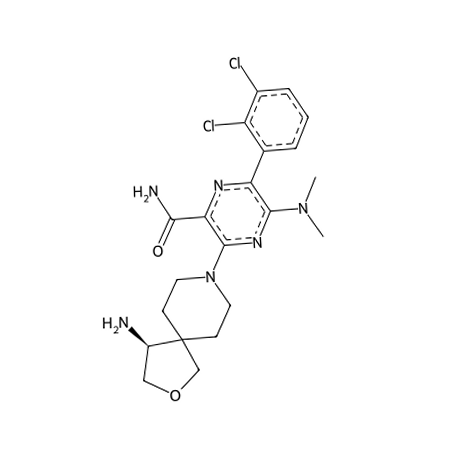 CN(C)c1nc(N2CCC3(CC2)COC[C@H]3N)c(C(N)=O)nc1-c1cccc(Cl)c1Cl